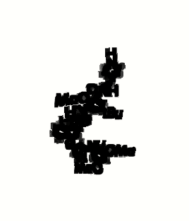 COc1cc(Nc2cc(Oc3ccc(NC(=O)Nc4cc(C(C)(C)C)cc(C(=O)NCCN5CCNCC5)c4OC)c4ccccc34)ccn2)cc(OC)c1